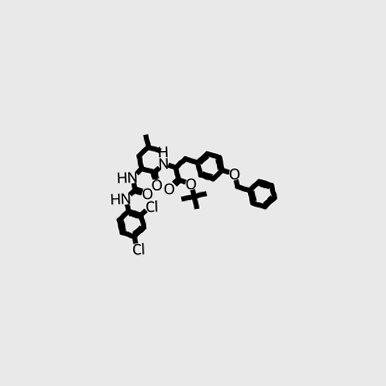 CC(C)CC(NC(=O)Nc1ccc(Cl)cc1Cl)C(=O)NC(Cc1ccc(OCc2ccccc2)cc1)C(=O)OC(C)(C)C